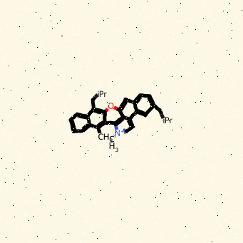 Cc1c2c(c(CC(C)C)c3ccccc13)Oc1cc3ccc(CC(C)C)cc3c3cc[n+](C)c-2c13